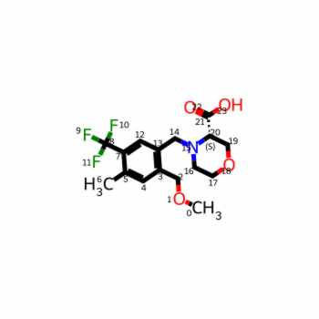 COCc1cc(C)c(C(F)(F)F)cc1CN1CCOC[C@H]1C(=O)O